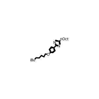 CCCCCCCCc1cnc(-c2ccc(OCCCCCC(C)CC)cc2)nc1